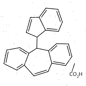 C1=CC(C2c3ccccc3C=Cc3ccccc32)c2ccccc21.CC(=O)O